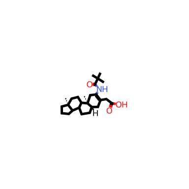 CC(C)(C)C(=O)NC1=C(CC(=O)O)C[C@@H]2CCC3C4CCC[C@@]4(C)CCC3[C@@]2(C)C1